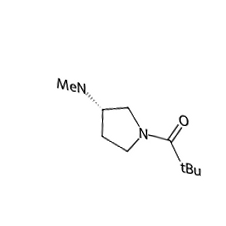 CN[C@H]1CCN(C(=O)C(C)(C)C)C1